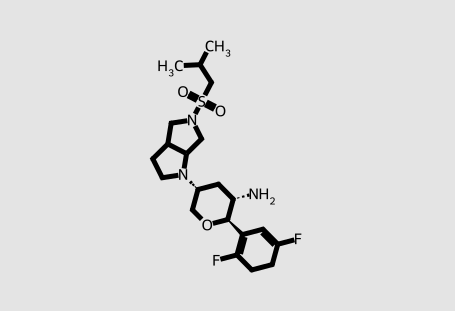 CC(C)CS(=O)(=O)N1CC2CCN([C@H]3CO[C@H](C4=C(F)CCC(F)=C4)[C@@H](N)C3)C2C1